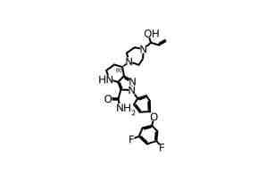 C=CC(O)N1CCN([C@@H]2CCNc3c2nn(-c2ccc(Oc4cc(F)cc(F)c4)cc2)c3C(N)=O)CC1